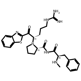 CN[C@H](Cc1ccccc1)C(=O)NC(=O)[C@@H]1CCCN1[C@@H](CCCNC(=N)N)C(=O)c1nc2ccccc2s1